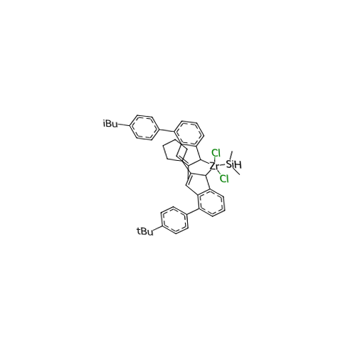 CCC(C)c1ccc(-c2cccc3c2C=C(C)[CH]3[Zr]([Cl])([Cl])([CH]2C(C3CCCC3)=Cc3c(-c4ccc(C(C)(C)C)cc4)cccc32)[SiH](C)C)cc1